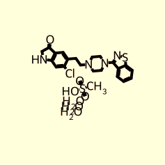 CS(=O)(=O)O.O.O.O.O=C1CNc2cc(Cl)c(CCN3CCN(c4nsc5ccccc45)CC3)cc21